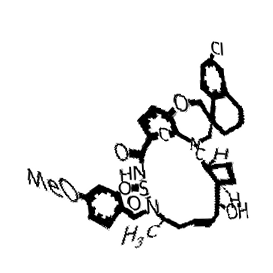 COc1ccc(CN2[C@@H](C)C/C=C/[C@H](O)[C@@H]3CC[C@H]3CN3C[C@@]4(CCCc5cc(Cl)ccc54)COc4ccc(cc43)C(=O)NS2(=O)=O)cc1